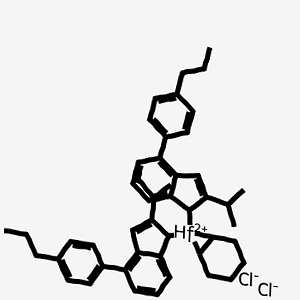 CCCc1ccc(-c2cccc3c2C=C(C(C)C)[CH]3[Hf+2]2([CH]3C(C(C)C)=Cc4c(-c5ccc(CCC)cc5)cccc43)[CH]3CCCC[CH]32)cc1.[Cl-].[Cl-]